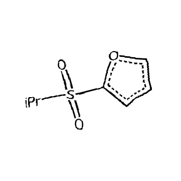 CC(C)S(=O)(=O)c1ccco1